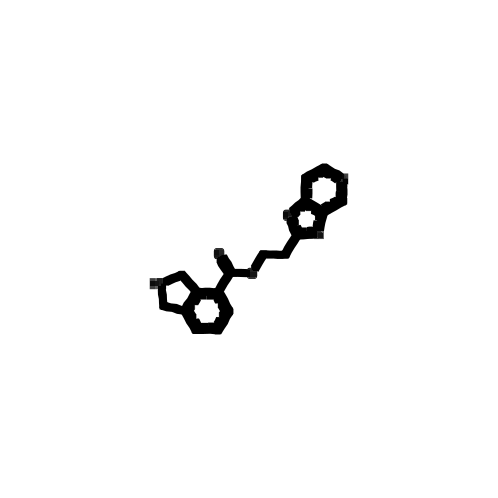 O=C(OCCc1nc2cnccc2o1)c1cccc2c1CNC2